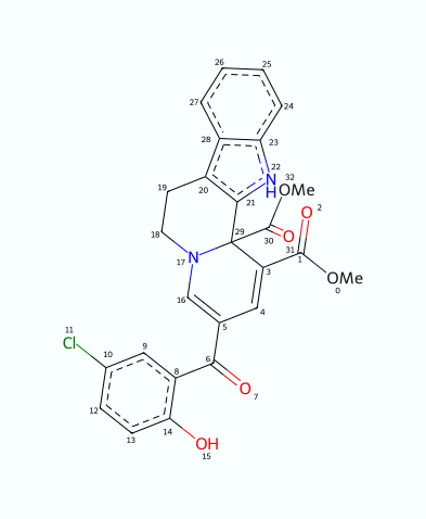 COC(=O)C1=CC(C(=O)c2cc(Cl)ccc2O)=CN2CCc3c([nH]c4ccccc34)C12C(=O)OC